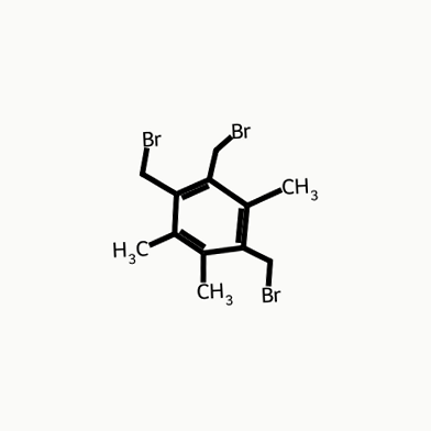 Cc1c(C)c(CBr)c(CBr)c(C)c1CBr